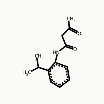 CC(=O)CC(=O)Nc1ccccc1C(C)C